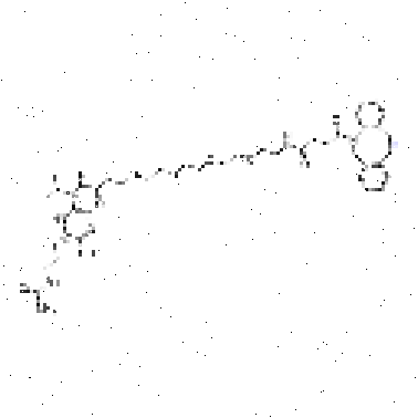 CC(C)[C@H](NC(=O)CCOCCOCCOCCOCCNC(=O)CCC(=O)N1Cc2ccccc2/C=C\c2ccccc21)C(=O)N[C@@H](CCCNC(N)=O)C(=O)O